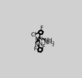 CCn1c(-c2ccc(F)cc2Cl)nc2cnc(-c3c(F)cccc3F)nc21.NN